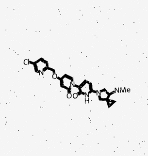 CNC1CN(c2ccc(-n3ccc(OCc4ccc(Cl)cn4)cc3=O)c(=O)[nH]2)CC12CC2